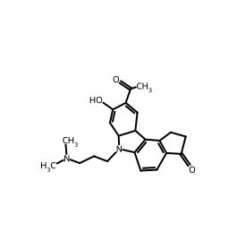 CC(=O)C1=CC2c3c(ccc4c3CCC4=O)N(CCCN(C)C)C2C=C1O